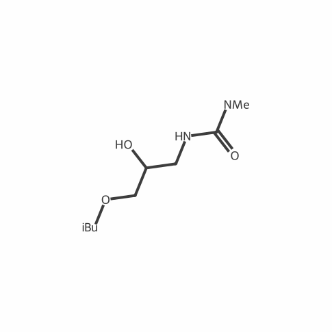 CCC(C)OCC(O)CNC(=O)NC